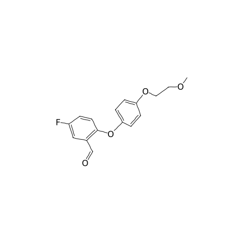 COCCOc1ccc(Oc2ccc(F)cc2C=O)cc1